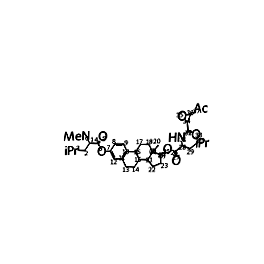 CNC(CC(C)C)C(=O)Oc1ccc2c(c1)CCC1C2CC[C@@]2(C)C1CC[C@@H]2OC(=O)C(CC(C)C)NC(=O)C1OC1C(C)=O